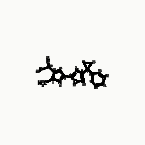 Cn1nc(-c2nc(C3(c4cccnc4)CC3)no2)cc1C(F)F